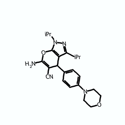 CC(C)c1nn(C(C)C)c2c1C(c1ccc(N3CCOCC3)cc1)C(C#N)=C(N)O2